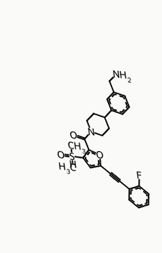 C[SH](C)(=O)c1cc(C#Cc2ccccc2F)oc1C(=O)N1CCC(c2cccc(CN)c2)CC1